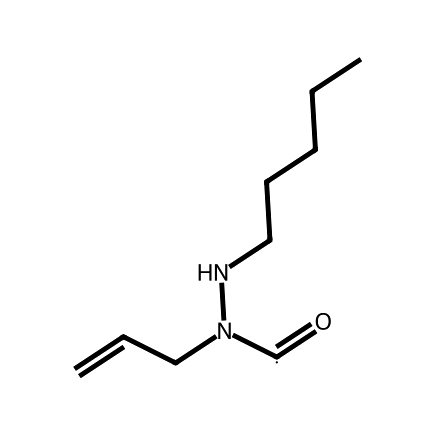 C=CCN([C]=O)NCCCCC